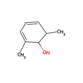 CC1=C[C]=CC(C)[C]1O